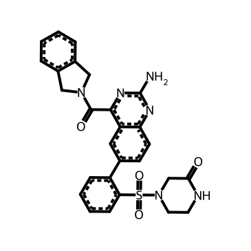 Nc1nc(C(=O)N2Cc3ccccc3C2)c2cc(-c3ccccc3S(=O)(=O)N3CCNC(=O)C3)ccc2n1